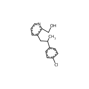 CC(Cc1cccnc1CO)c1ccc(Cl)cc1